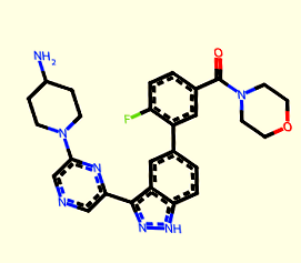 NC1CCN(c2cncc(-c3n[nH]c4ccc(-c5cc(C(=O)N6CCOCC6)ccc5F)cc34)n2)CC1